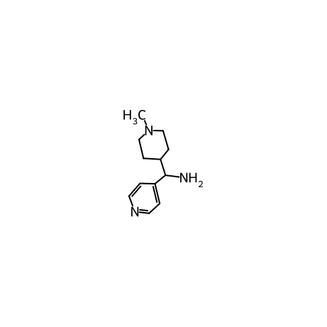 CN1CCC(C(N)c2ccncc2)CC1